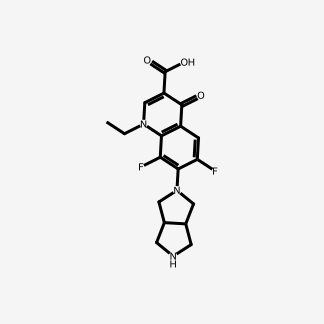 CCn1cc(C(=O)O)c(=O)c2cc(F)c(N3CC4CNCC4C3)c(F)c21